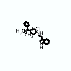 CN(C)C(c1ccccc1)C1CCC(NCCc2c[nH]c3ccccc23)CC1.Cl